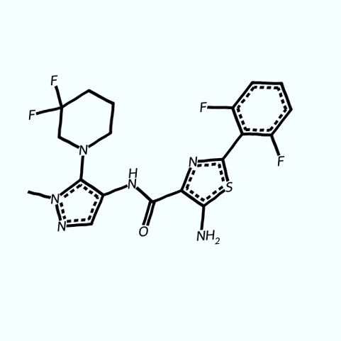 Cn1ncc(NC(=O)c2nc(-c3c(F)cccc3F)sc2N)c1N1CCCC(F)(F)C1